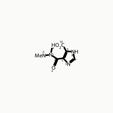 CNN(C)C(=O)c1nc[nH]c1C(=O)O